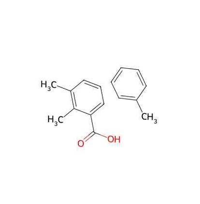 Cc1cccc(C(=O)O)c1C.Cc1ccccc1